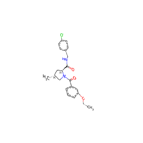 CCOc1cccc(C(=O)N2C[C@H](C)C[C@H]2C(=O)NCc2ccc(Cl)cc2)c1